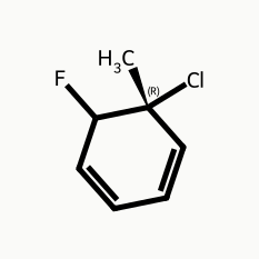 C[C@@]1(Cl)C=CC=CC1F